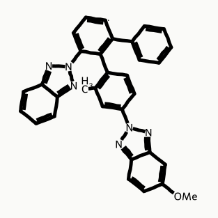 COc1ccc2nn(-c3ccc(-c4c(-c5ccccc5)[c]ccc4-n4nc5ccccc5n4)c(C)c3)nc2c1